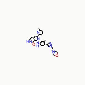 Cc1cccc(-c2cc3cc[nH]c(=O)c3c(Nc3ccc(-c4cnn(CCN5CCOCC5)c4)c(C)c3)n2)n1